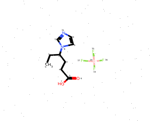 CCC(CCC(=O)O)n1ccnc1.F[B-](F)(F)F